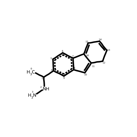 CC(NN)c1ccc2c(c1)C=C1CC=CC=C12